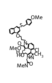 CNC(=O)Cn1nc(C)c(-c2c(Cl)ccc3c2c(C)c(C(=O)OC)n3CCCOc2cc(SCc3ccc(OC)cc3)cc3ccccc23)c1CO